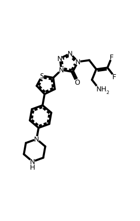 NCC(Cn1nnn(-c2cc(-c3ccc(N4CCNCC4)cc3)cs2)c1=O)=C(F)F